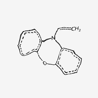 C=CN1c2ccccc2Oc2ccccc21